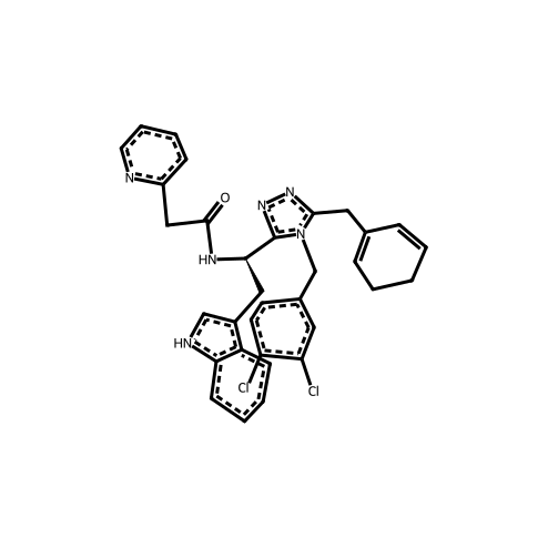 O=C(Cc1ccccn1)N[C@H](Cc1c[nH]c2ccccc12)c1nnc(CC2=CCCC=C2)n1Cc1ccc(Cl)c(Cl)c1